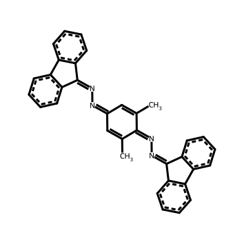 CC1=CC(=NN=C2c3ccccc3-c3ccccc32)C=C(C)C1=NN=C1c2ccccc2-c2ccccc21